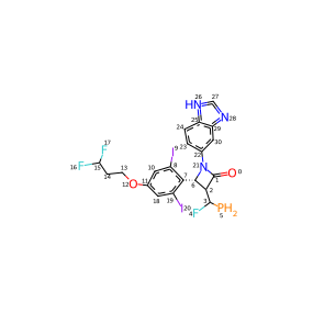 O=C1C(C(F)P)[C@H](c2c(I)cc(OCCC(F)F)cc2I)N1c1ccc2[nH]cnc2c1